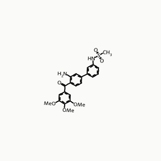 COc1cc(C(=O)c2ccc(-c3cccc(NS(C)(=O)=O)c3)cc2N)cc(OC)c1OC